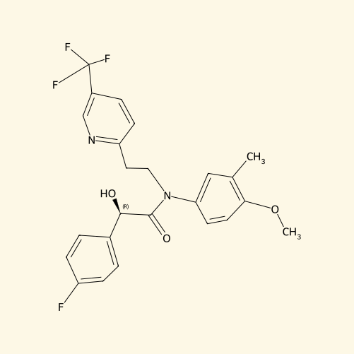 COc1ccc(N(CCc2ccc(C(F)(F)F)cn2)C(=O)[C@H](O)c2ccc(F)cc2)cc1C